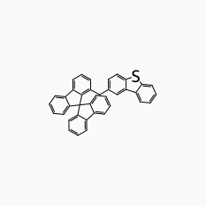 c1ccc2c(c1)-c1ccccc1C21c2ccccc2-c2cccc(Cc3ccc4sc5ccccc5c4c3)c21